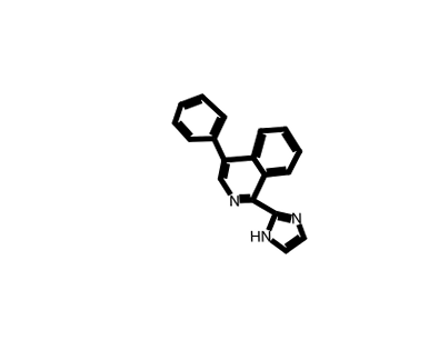 c1ccc(-c2cnc(-c3ncc[nH]3)c3ccccc23)cc1